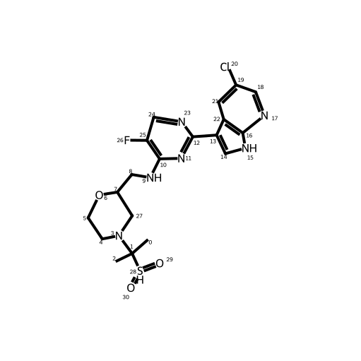 CC(C)(N1CCOC(CNc2nc(-c3c[nH]c4ncc(Cl)cc34)ncc2F)C1)[SH](=O)=O